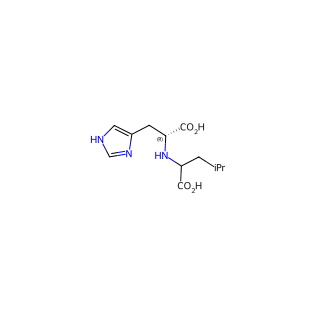 CC(C)CC(N[C@H](Cc1c[nH]cn1)C(=O)O)C(=O)O